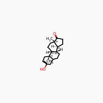 C[C@]12CC=C(O)CC1CC[C@@H]1[C@H]2CC[C@]2(C)C(=O)CC[C@@H]12